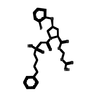 CC(C)(C)C(=O)OCOC(=O)[C@@H]1C[C@H](Oc2ccccc2F)CN1C(=O)CP(=O)(O)CCCCc1ccccc1